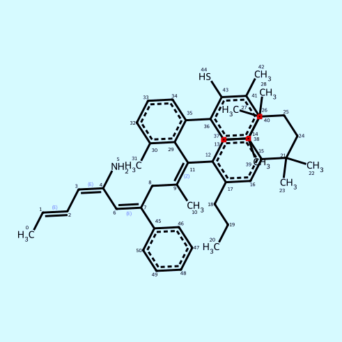 C/C=C/C=C(N)\C=C(/C/C(C)=C(/c1cc2c(cc1CCC)C(C)(C)CCC2(C)C)c1c(C)cccc1-c1cc(C)cc(C)c1S)c1ccccc1